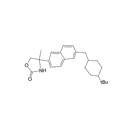 CC1(c2ccc3cc(CC4CCC(C(C)(C)C)CC4)ccc3c2)COC(=O)N1